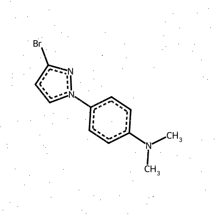 CN(C)c1ccc(-n2ccc(Br)n2)cc1